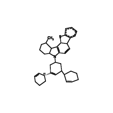 CC1CCCC2C1C1=C(C=CC3c4ccccc4SC13)N2C1CC([C@H]2C=CCCC2)=CC(C2C=CCCC2)C1